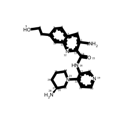 Nc1cc2ccc(CCO)cc2nc1C(=O)Nc1cnccc1N1CCC[C@H](N)C1